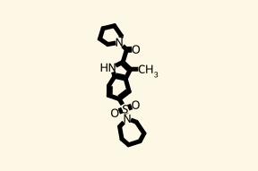 Cc1c(C(=O)N2CCCCC2)[nH]c2ccc(S(=O)(=O)N3CCCCCC3)cc12